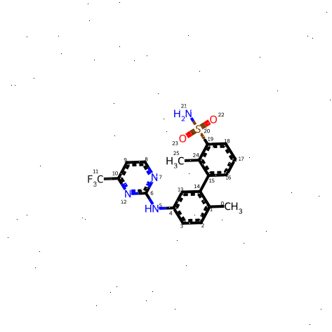 Cc1ccc(Nc2nccc(C(F)(F)F)n2)cc1-c1cccc(S(N)(=O)=O)c1C